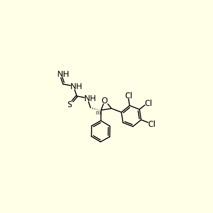 N=CNC(=S)NC[C@]1(c2ccccc2)OC1c1ccc(Cl)c(Cl)c1Cl